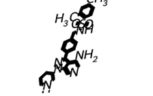 Cc1ccc(S(=O)(=O)NCc2ccc(-c3nn([C@@H]4CCCNC4)c4cncc(N)c34)cc2)c(C)c1